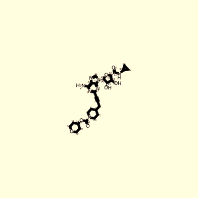 Nc1nc(C#CCC2CCN(C(=O)OC3CCOCC3)CC2)nc2c1ncn2[C@@H]1O[C@H](C(=O)NC2CC2)C(O)[C@@H]1O